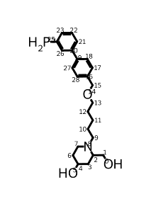 OCC1CC(O)CCN1CCCCCOCc1ccc(-c2cccc(P)c2)cc1